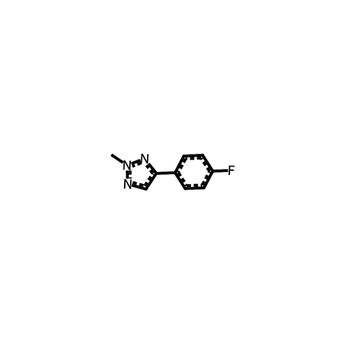 Cn1ncc(-c2ccc(F)cc2)n1